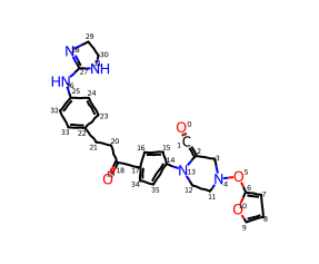 O=C=C1CN(Oc2ccco2)CCN1c1ccc(C(=O)CCc2ccc(NC3=NCCN3)cc2)cc1